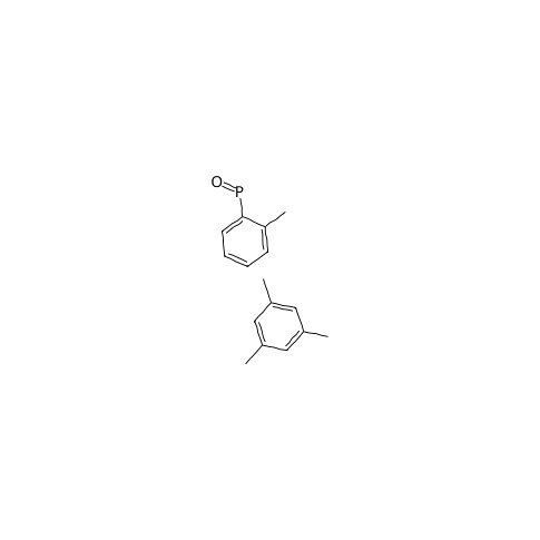 Cc1cc(C)cc(C)c1.Cc1ccccc1P=O